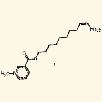 CCCCCCCC/C=C\CCCCCCCCOC(=O)c1ccc[n+](C)c1.[I-]